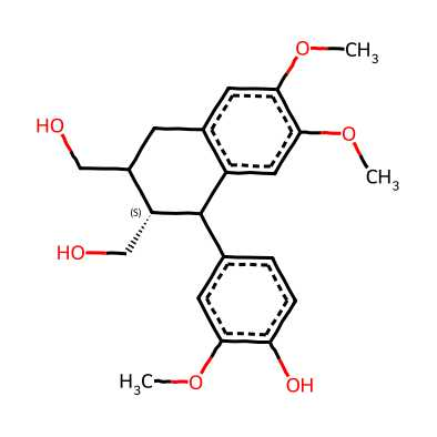 COc1cc(C2c3cc(OC)c(OC)cc3CC(CO)[C@H]2CO)ccc1O